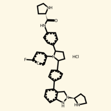 Cl.O=C(Nc1ccc(C2CCC(c3ccc(-c4cccc5c4CN([C@H]4CCCN4)N5)cc3)N2c2ccc(F)cc2)cc1)[C@@H]1CCCN1